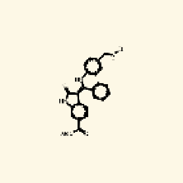 CCNCc1ccc(N/C(=C2\C(=O)Nc3cc(C(=O)OC)ccc32)c2ccccc2)cc1